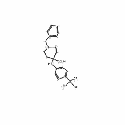 O=C(O)C1(Nc2ccc(C(O)(C(F)(F)F)C(F)(F)F)cc2)CCN(Cc2ccccc2)CC1